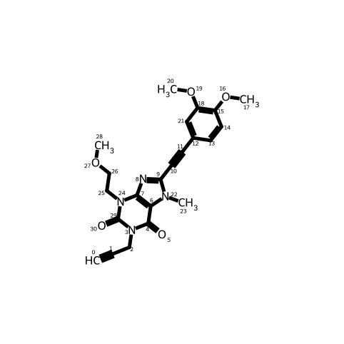 C#CCn1c(=O)c2c(nc(C#Cc3ccc(OC)c(OC)c3)n2C)n(CCOC)c1=O